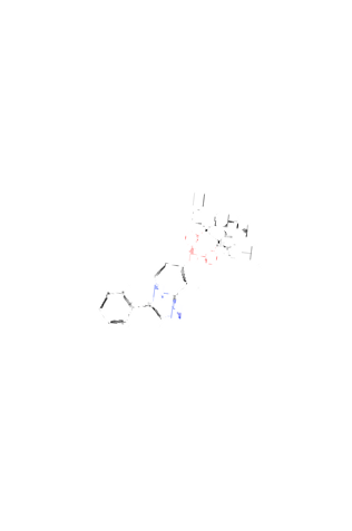 CC1(C)OB(c2ccn3c(-c4ccccc4)cnc3c2)OC1(C)C